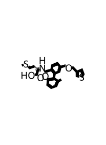 CSCC[C@H](NC(=O)c1ccc(COCc2ccsc2)cc1-c1ccccc1C)C(=O)O